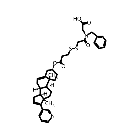 C[C@]12CC[C@H](OC(=O)CCSSCC(=O)N(CC(=O)O)Cc3ccccc3)CC1=CC[C@@H]1[C@@H]2CC[C@]2(C)C(c3cccnc3)=CC[C@@H]12